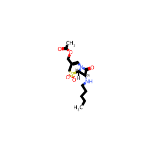 CCCCCN[C@H]1C(=O)N2C=C(COC(C)=O)CS(=O)(=O)[C@@H]12